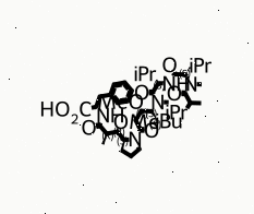 CC[C@H](C)[C@@H]([C@@H](CC(=O)N1CCC[C@H]1[C@H](OC)[C@@H](C)C(=O)NC(Cc1ccccc1)C(=O)O)OC)N(C)C(=O)[C@@H](NC(=O)[C@H](C(C)C)N(C)C(=O)C(C)C(C)C)C(C)C